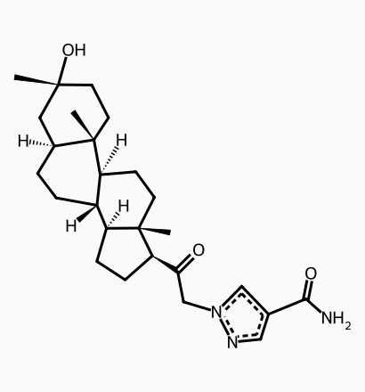 C[C@@]1(O)CC[C@@]2(C)[C@@H](CC[C@@H]3[C@@H]2CC[C@]2(C)[C@@H](C(=O)Cn4cc(C(N)=O)cn4)CC[C@@H]32)C1